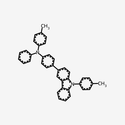 Cc1ccc(N(c2ccccc2)c2ccc(-c3ccc4c(c3)c3ccccc3n4-c3ccc(C)cc3)cc2)cc1